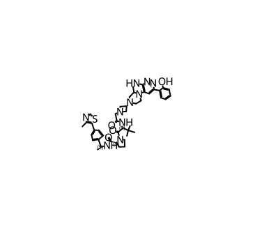 Cc1ncsc1-c1ccc([C@H](C)NC(=O)[C@@H]2CCCN2C(=O)[C@@H](NC(=O)CN2CC(N3CCN4c5cc(-c6ccccc6O)nnc5NCC4C3)C2)C(C)(C)C)cc1